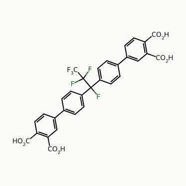 O=C(O)c1ccc(-c2ccc(C(F)(c3ccc(-c4ccc(C(=O)O)c(C(=O)O)c4)cc3)C(F)(F)C(F)(F)F)cc2)cc1C(=O)O